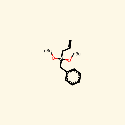 C=CC[Si](Cc1ccccc1)(OCCCC)OCCCC